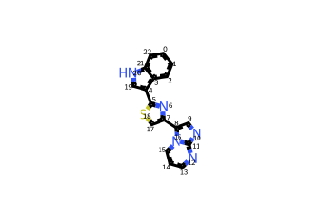 c1ccc2c(-c3nc(-c4cnc5ncccn45)cs3)c[nH]c2c1